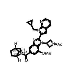 COc1cc(C(=O)N2C[C@H]3CC[C@@H]2[C@@H]3N)cc2nc(-c3cc4cccnc4n3CC3CC3)n(C3CN(C(C)=O)C3)c12